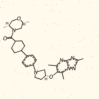 Cc1nc2nc(C)c(O[C@@H]3CCN(c4ccc(C5CCC(C(=O)N6C[C@@H](C)OC[C@H]6C)CC5)cc4)C3)c(C)n2n1